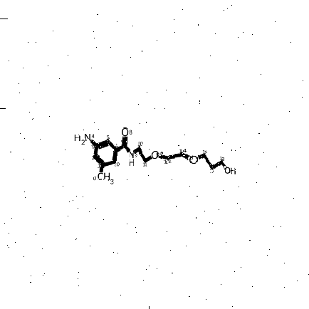 Cc1cc(N)cc(C(=O)NCCOCCOCCCO)c1